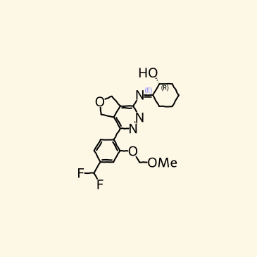 COCOc1cc(C(F)F)ccc1-c1nnc(/N=C2\CCCC[C@H]2O)c2c1COC2